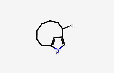 CCCCC1CCCCCCc2cc1c[nH]2